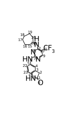 O=C1Cc2cc(Nc3ncc(C(F)(F)F)c(NC4CCCCCC4)n3)ccc2N1